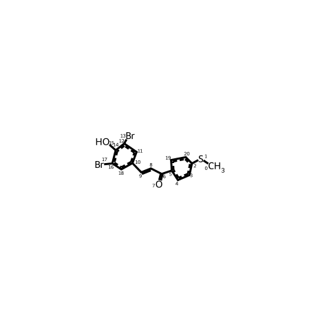 CSc1ccc(C(=O)/C=C/c2cc(Br)c(O)c(Br)c2)cc1